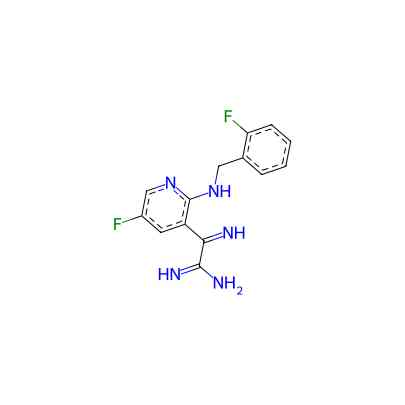 N=C(N)C(=N)c1cc(F)cnc1NCc1ccccc1F